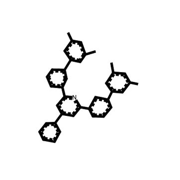 Cc1cc(C)cc(-c2cccc(-c3cc(-c4ccccc4)cc(-c4cccc(-c5cc(C)cc(C)c5)c4)n3)c2)c1